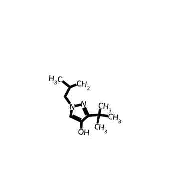 CC(C)Cn1cc(O)c(C(C)(C)C)n1